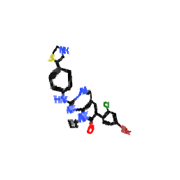 CCn1c(=O)c(-c2ccc(Br)cc2Cl)cc2cnc(Nc3ccc(C4CNCCS4)cc3)nc21